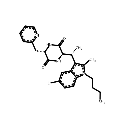 CCCCn1c(C)c([C@@H](C)[C@H]2NC(=O)[C@H](Cc3ccccn3)NC2=O)c2cc(Cl)ccc21